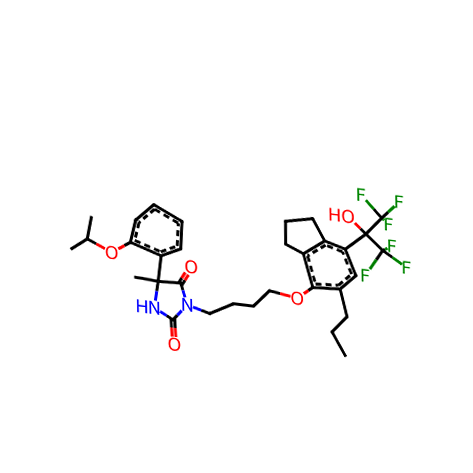 CCCc1cc(C(O)(C(F)(F)F)C(F)(F)F)c2c(c1OCCCCN1C(=O)NC(C)(c3ccccc3OC(C)C)C1=O)CCC2